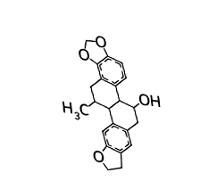 CC1Cc2c(ccc3c2OCO3)C2C(O)Cc3cc4c(cc3C12)OCC4